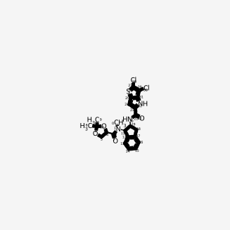 CN(C(=O)[C@H]1COC(C)(C)O1)[C@H]1c2ccccc2C[C@H]1NC(=O)c1cc2sc(Cl)c(Cl)c2[nH]1